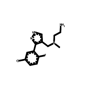 CN(CCN)Cc1c[nH]nc1-c1cc(Cl)ccc1F